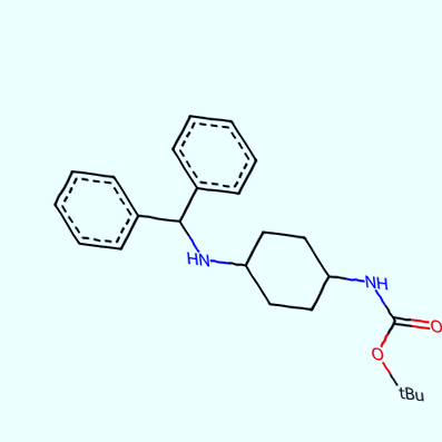 CC(C)(C)OC(=O)NC1CCC(NC(c2ccccc2)c2ccccc2)CC1